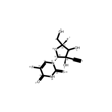 C#C[C@@]1(O)C(O)[C@@](F)(CO)O[C@H]1n1cc(F)c(=O)[nH]c1=S